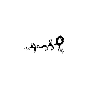 C=C(C)C(=O)OCCNC(=O)Nc1ccccc1C